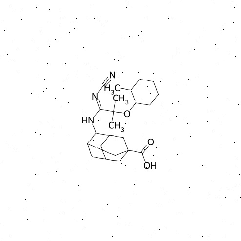 CC1CCCCC1OC(C)(C)/C(=N\C#N)NC1C2CC3CC1CC(C(=O)O)(C3)C2